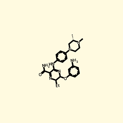 CCC1N=C(C(N)=O)C(Nc2ccc(N3CCN(C)[C@@H](C)C3)cc2)=NC1Oc1cccc(N)c1